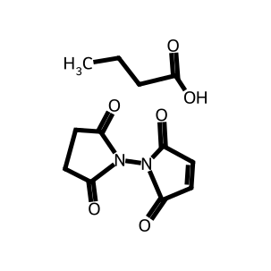 CCCC(=O)O.O=C1C=CC(=O)N1N1C(=O)CCC1=O